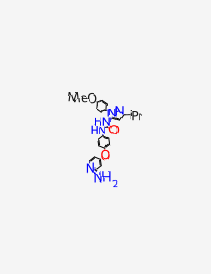 COc1ccc(-n2nc(C(C)C)cc2NC(=O)Nc2ccc(Oc3ccnc(N)c3)cc2)cc1